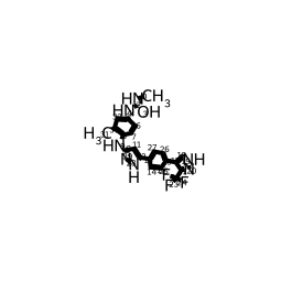 CNC(O)Nc1ccc(Nc2cc(-c3ccc(-c4c[nH]nc4C(F)(F)F)cc3)[nH]n2)c(C)c1